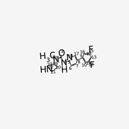 CN(C(=O)Nc1ccc(-c2cc(F)cc(F)c2)cn1)C1CCNC1